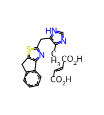 Cc1nc[nH]c1Cc1nc2c(s1)Cc1ccccc1-2.O=C(O)C=CC(=O)O